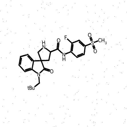 CC(C)(C)CN1C(=O)C2(CNC(C(=O)Nc3ccc(S(C)(=O)=O)cc3F)C2)c2ccccc21